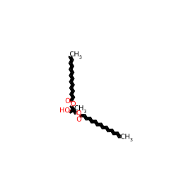 CCCCCCCCCCCCCCCC(=O)OCC(C)(CO)COC(=O)CCCCCCCCCCCCCCC